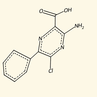 Nc1nc(Cl)c(-c2ccccc2)nc1C(=O)O